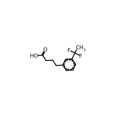 CC(F)(F)c1cccc(CCCC(=O)O)c1